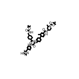 Cc1cc(C(=O)NC2CCN(C(=O)OC(C)(C)C)C(C)C2)ccc1-c1ccc(C[C@H](NC(=O)C2CCC(CNC(=O)OC(C)(C)C)CC2)C(=O)Nc2ccc(-c3nn[nH]n3)cc2)cc1